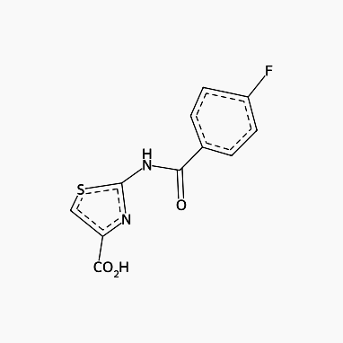 O=C(Nc1nc(C(=O)O)cs1)c1ccc(F)cc1